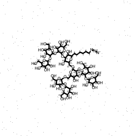 [N-]=[N+]=NCCCCCCC1OC(COC2OC(COC3OC(CO)C(O)C(O)C3OC3OC(CO)C(O)C(O)C3O)C(O)C(OC3OC(CO)C(O)C(O)C3OC3OC(CO)C(O)C(O)C3O)C2O)C(O)C(OC2OC(CO)C(O)C(O)C2OC2OC(CO)C(O)C(O)C2OC2OC(CO)C(O)C(O)C2O)C1O